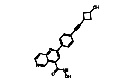 O=C(NO)c1cc(-c2ccc(C#CC3CC(O)C3)cc2)nc2ccncc12